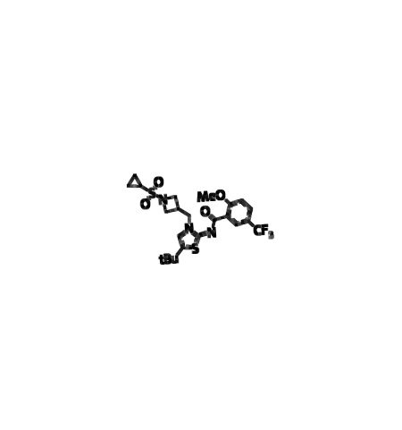 COc1ccc(C(F)(F)F)cc1C(=O)N=c1sc(C(C)(C)C)cn1CC1CN(S(=O)(=O)C2CC2)C1